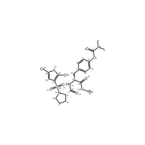 CN(C)C(=O)Oc1ccc(C[C@H](NC(=O)[C@@H]2CCCN2S(=O)(=O)c2cc(Cl)sc2Cl)C(=O)OC(C)(C)C)cc1